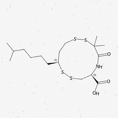 CC(C)CCCC[C@H]1CCSSC(C)(C)C(=O)N[C@@H](C(=O)O)CSS1